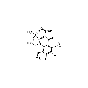 CCn1c(S(C)(=O)=O)c(C(=O)O)c(=O)c2c(C3CC3)c(F)c(F)c(OC)c21